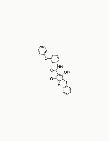 O=C(Nc1cccc(Oc2ccccc2)c1)C1=C(O)C(Cc2ccccc2)NC1=O